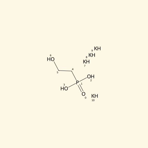 O=P(O)(O)CCO.[KH].[KH].[KH].[KH]